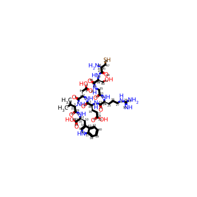 CC(C)[C@H](NC(=O)[C@H](CC(=O)O)NC(=O)[C@H](CCC(=O)O)NC(=O)[C@H](CCCNC(=N)N)NC(=O)CNC(=O)[C@H](CO)NC(=O)[C@@H](N)CS)C(=O)N[C@@H](Cc1c[nH]c2ccccc12)C(=O)O